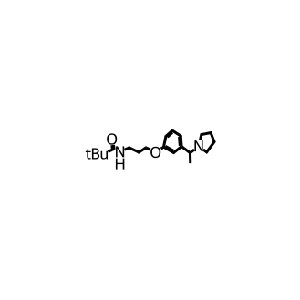 CC(c1cccc(OCCCNC(=O)C(C)(C)C)c1)N1CCCC1